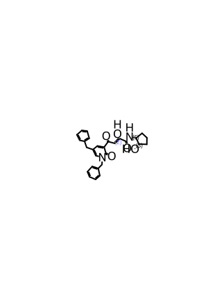 O=C(N[C@H]1CCC[C@@H]1O)/C(O)=C/C(=O)c1cc(Cc2ccccc2)cn(Cc2ccccc2)c1=O